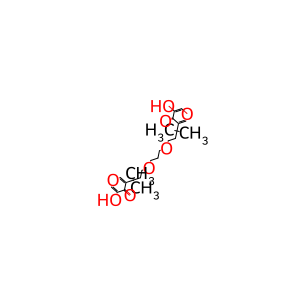 CC(C)(CCOCCCOCCC(C)(C)c1cocc(O)c1=O)c1cocc(O)c1=O